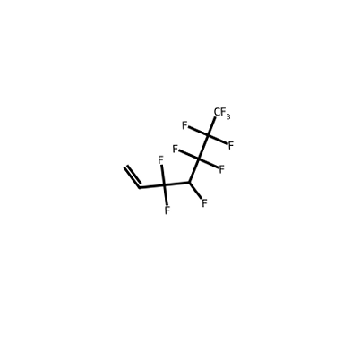 C=CC(F)(F)C(F)C(F)(F)C(F)(F)C(F)(F)F